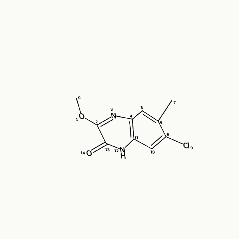 COc1nc2cc(C)c(Cl)cc2[nH]c1=O